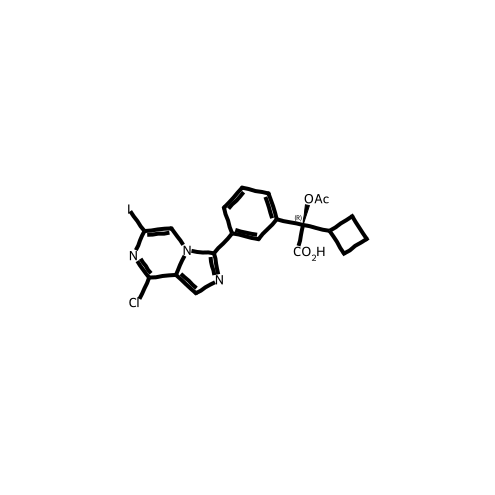 CC(=O)O[C@@](C(=O)O)(c1cccc(-c2ncc3c(Cl)nc(I)cn23)c1)C1CCC1